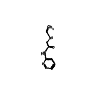 CCNCC(=O)Nc1ccccn1